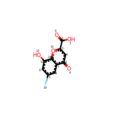 O=C(O)c1cc(=O)c2cc(F)cc(O)c2o1